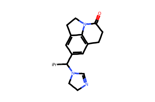 CC(C)C(c1cc2c3c(c1)CCN3C(=O)CC2)N1C=NCC1